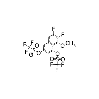 COc1c(F)c(F)cc2cc(OS(=O)(=O)C(F)(F)F)cc(OS(=O)(=O)C(F)(F)F)c12